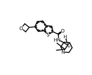 CC1(C)[C@H](NC(=O)c2cc3ccc(C4COC4)cc3s2)C2CCN1CC2